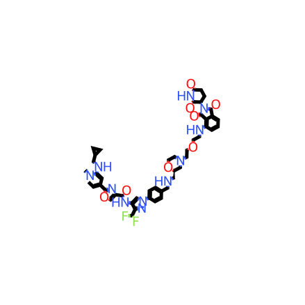 C=N/C(=C\C(=C/C)c1nc(C(=O)Nc2cn(-c3ccc(CNC[C@@H]4CN(CCOCCNc5cccc6c5C(=O)N(C5CCC(=O)NC5=O)C6=O)CCO4)cc3)nc2C(F)F)co1)NCC1CC1